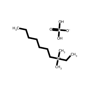 CCCCCCC[N+](C)(C)CC.O=P([O-])(O)O